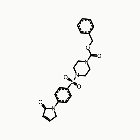 O=C(OCc1ccccc1)N1CCN(S(=O)(=O)c2ccc(N3CC=CC3=O)cc2)CC1